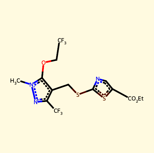 CCOC(=O)c1cnc(SCc2c(C(F)(F)F)nn(C)c2OCC(F)(F)F)s1